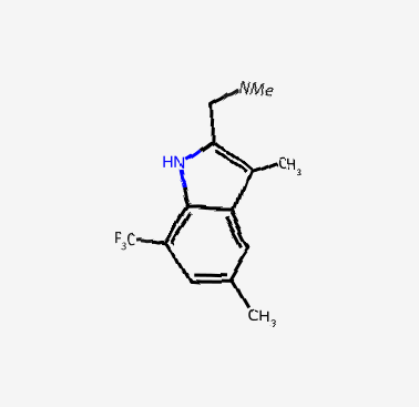 CNCc1[nH]c2c(C(F)(F)F)cc(C)cc2c1C